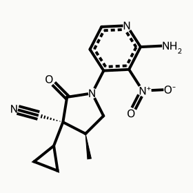 C[C@@H]1CN(c2ccnc(N)c2[N+](=O)[O-])C(=O)[C@]1(C#N)C1CC1